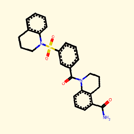 NC(=O)c1cccc2c1CCCN2C(=O)c1cccc(S(=O)(=O)N2CCCc3ccccc32)c1